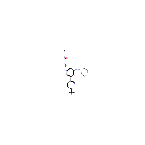 CCNC(=O)Nc1nc2cc(-c3ccc(C(C)(C)O)nc3)c(O)c(CN3CCOCC3)c2s1